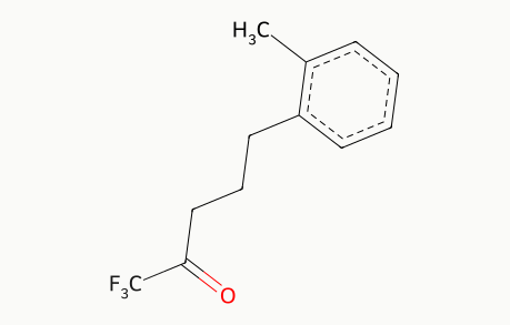 Cc1ccccc1CCCC(=O)C(F)(F)F